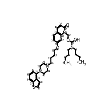 CCCCN(CCCC)C(O)OCn1c(=O)ccc2ccc(OCCCCN3CCN(c4cccc5sccc45)CC3)cc21